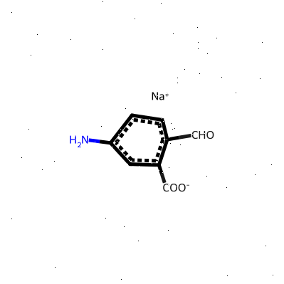 Nc1ccc(C=O)c(C(=O)[O-])c1.[Na+]